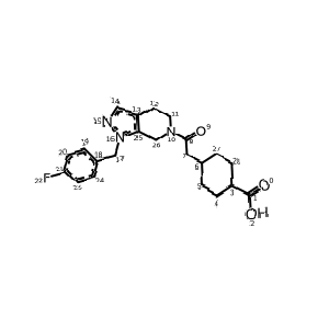 O=C(O)C1CCC(CC(=O)N2CCc3cnn(Cc4ccc(F)cc4)c3C2)CC1